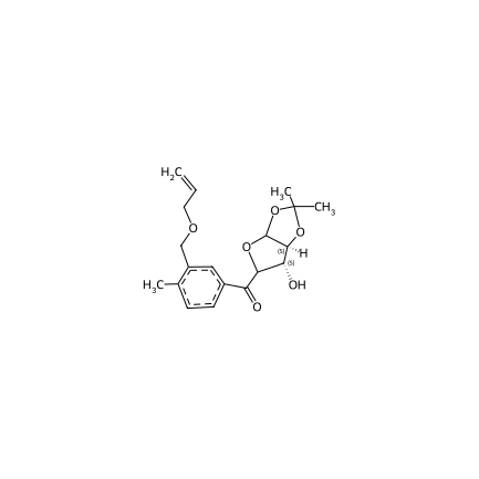 C=CCOCc1cc(C(=O)C2OC3OC(C)(C)O[C@H]3[C@@H]2O)ccc1C